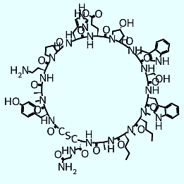 CCCC[C@H]1C(=O)N(C)[C@@H](CCCC)C(=O)N[C@@H](C)C(=O)N[C@H](C(=O)NCC(N)=O)CSCC(=O)N[C@@H](Cc2ccc(O)cc2)C(=O)N(C)[C@@H](C)C(=O)N[C@@H](CCN)C(=O)N2CCC[C@H]2C(=O)N[C@@H](Cc2c[nH]cn2)C(=O)N[C@@H](CCC(=O)O)C(=O)N2C[C@H](O)C[C@H]2C(=O)N[C@@H](Cc2c[nH]c3ccccc23)C(=O)N[C@@H](CO)C(=O)N[C@@H](Cc2c[nH]c3ccccc23)C(=O)N1C